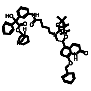 CC(C)(C)OC(=O)N(CCCCC(=O)Nc1cccc(C(O)(C(=O)O[C@H]2CN3CCC2CC3)c2ccccc2)c1)C[C@H](O[Si](C)(C)C(C)(C)C)c1ccc(OCc2ccccc2)c2[nH]c(=O)ccc12